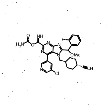 C#C[C@H]1CC[C@H](Cn2c(C(OC)c3ccccc3F)nc3nc(C(=N)OC(N)=O)nc(-c4cncc(Cl)c4)c32)CC1